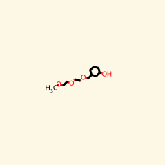 COCCOCCOCC1CCCC(O)C1